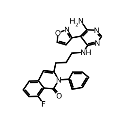 Nc1ncnc(NCCCc2cc3cccc(F)c3c(=O)n2-c2ccccc2)c1-c1ccon1